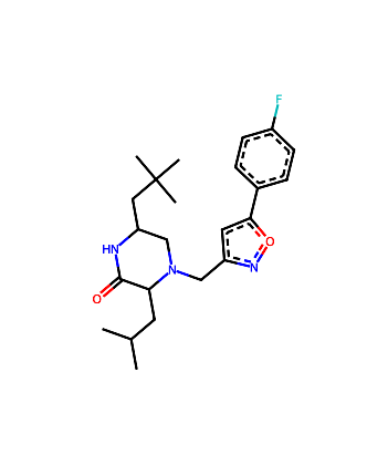 CC(C)CC1C(=O)NC(CC(C)(C)C)CN1Cc1cc(-c2ccc(F)cc2)on1